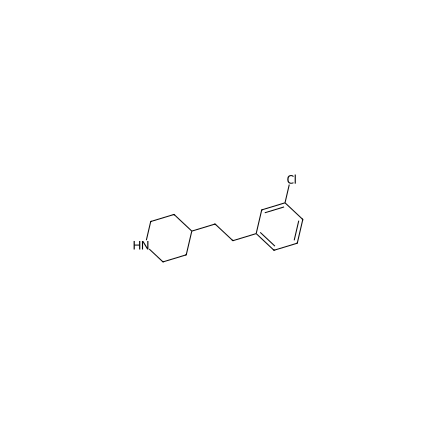 Clc1cccc(CCC2CCNCC2)c1